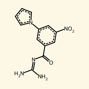 NC(N)=NC(=O)c1cc(-n2cccc2)cc([N+](=O)[O-])c1